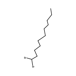 CCCCCCCCCCC(Br)Br